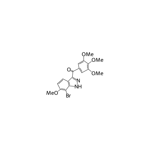 COc1cc(C(=O)c2n[nH]c3c(Br)c(OC)ccc23)cc(OC)c1OC